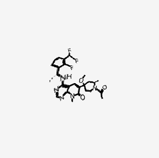 CO[C@]1(c2cc3c(N[C@H](C)c4cccc(C(F)F)c4F)ncnc3n(C)c2=O)CCN(C(C)=O)[C@H](C)C1